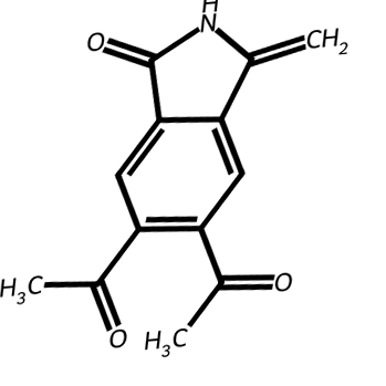 C=C1NC(=O)c2cc(C(C)=O)c(C(C)=O)cc21